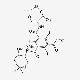 CNN(C(=O)c1c(I)c(C(=O)CCl)c(I)c(C(=O)NC2COC(C)(C)OCC2O)c1I)C1COC(C)(C)OCC1O